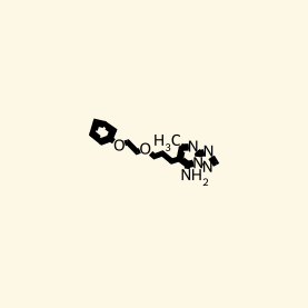 Cc1nc2ncnn2c(N)c1CCCOCCOc1ccccc1